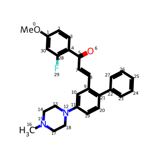 COc1ccc(C(=O)C=Cc2cc(N3CCN(C)CC3)ccc2-c2ccccc2)c(F)c1